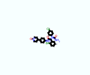 NC(=O)N(c1ccc(Cl)cc1)C(C(=O)Nc1ccc(-c2cc[n+]([O-])cc2)cc1)c1ccccc1Br